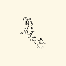 CC(=O)O[C@H](C[C@H](C(C)C)N(C)C(=O)[C@@H](NC(=O)[C@H]1CC2CCN1CC2)C1COC1)c1nc(C(=O)N[C@@H](Cc2ncc(C)cn2)C[C@H](C)C(=O)O)cs1